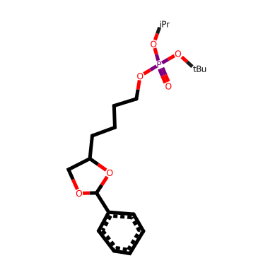 CC(C)OP(=O)(OCCCCC1COC(c2ccccc2)O1)OC(C)(C)C